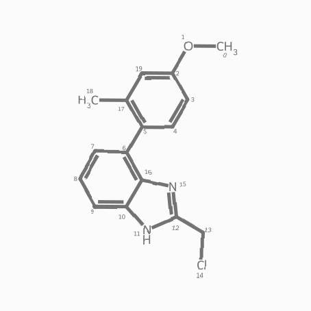 COc1ccc(-c2cccc3[nH]c(CCl)nc23)c(C)c1